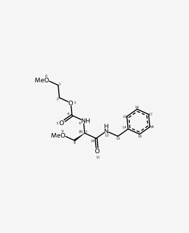 COCCOC(=O)N[C@H](COC)C(=O)NCc1ccccc1